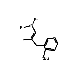 CCN(C=C(C)Cc1ccccc1C(C)(C)C)CC